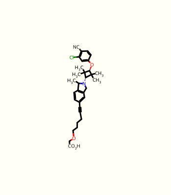 CC1c2ccc(C#CCCCCOCC(=O)O)cc2CN1[C@H]1C(C)(C)[C@H](Oc2ccc(C#N)c(Cl)c2)C1(C)C